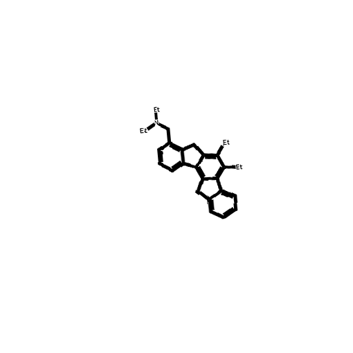 CCc1c(CC)c2c(c3c1Cc1c(CN(CC)CC)cccc1-3)Cc1ccccc1-2